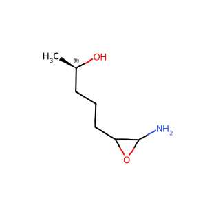 C[C@@H](O)CCCC1OC1N